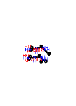 O=C(NCCCc1ccccc1)Nc1cccc(CCNCC(O)c2ccc(O)c3[nH]c(=O)ccc23)c1.O=C(Nc1cccc(CCNC[C@H](O)c2ccc(O)c3[nH]c(=O)ccc23)c1)NC(c1ccccc1)c1ccccc1